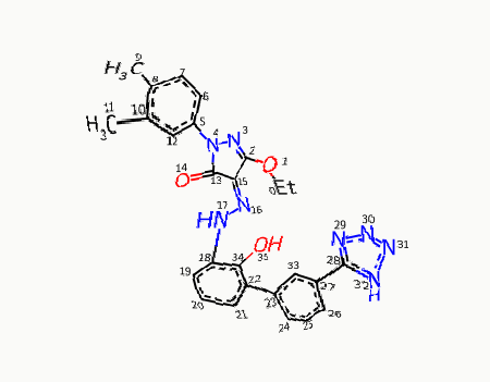 CCOC1=NN(c2ccc(C)c(C)c2)C(=O)C1=NNc1cccc(-c2cccc(-c3nnn[nH]3)c2)c1O